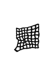 C1=CC2C3C4C5C6C7CC8C9C%10C%11C%12C%13CC%14C%15C%16C%17C%18C%19CC%20C%21C%22C%23C%24C1C21C%242C%23%24C%22%23C%21%22C%20%19C%18%19C%17%18C%16%17C%15%16C%14%13C%12%13C%11%12C%10%11C9%10C78C67C56C45C31C21C%242C%233C%22%19C%184C%178C%16%13C%129C%11%12C7%10C67C51C21C34C89C7%121